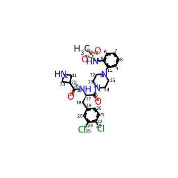 CS(=O)(=O)Nc1ccccc1N1CCN(C(=O)[C@@H](Cc2ccc(Cl)c(Cl)c2)NC(=O)C2CNC2)CC1